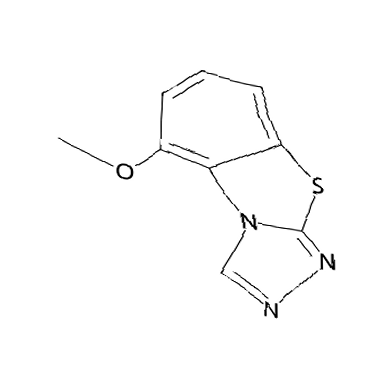 COc1cccc2sc3nncn3c12